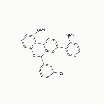 CNc1ccccc1-c1ccc2c(c1)C(c1cccc(Cl)c1)Oc1cccc(OC)c1-2